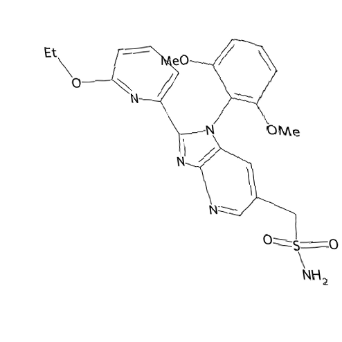 CCOc1cccc(-c2nc3ncc(CS(N)(=O)=O)cc3n2-c2c(OC)cccc2OC)n1